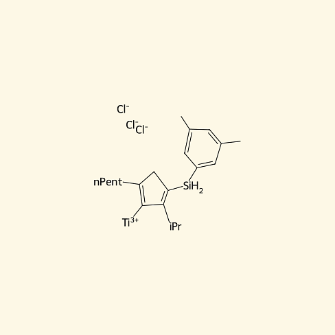 CCCCCC1=[C]([Ti+3])C(C(C)C)=C([SiH2]c2cc(C)cc(C)c2)C1.[Cl-].[Cl-].[Cl-]